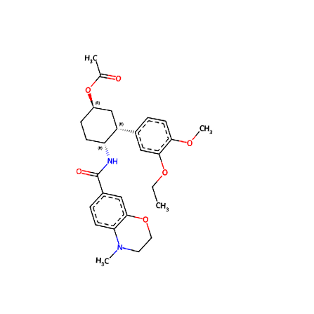 CCOc1cc([C@H]2C[C@H](OC(C)=O)CC[C@H]2NC(=O)c2ccc3c(c2)OCCN3C)ccc1OC